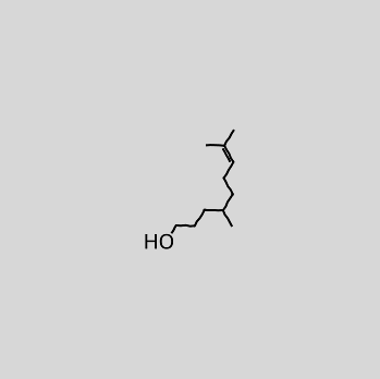 CC(C)=CCCC(C)CCCO